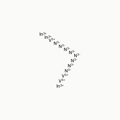 [In+3].[In+3].[In+3].[N-3].[N-3].[N-3].[N-3].[N-3].[N-3].[N-3].[N-3].[V+5].[V+5].[V+5]